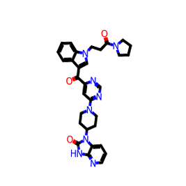 O=C(c1cc(N2CCC(n3c(=O)[nH]c4ncccc43)CC2)ncn1)c1cn(CCC(=O)N2CCCC2)c2ccccc12